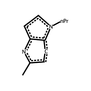 CCCn1ccc2nc(C)ccc21